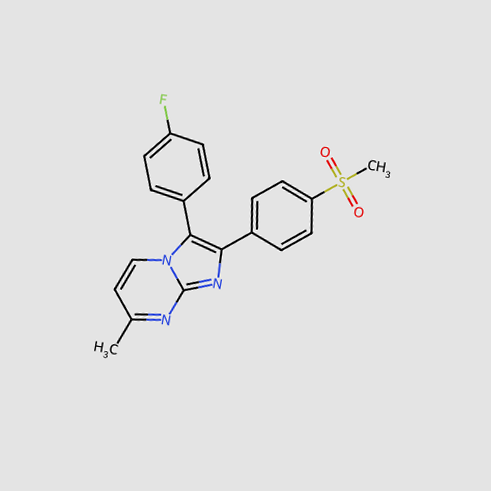 Cc1ccn2c(-c3ccc(F)cc3)c(-c3ccc(S(C)(=O)=O)cc3)nc2n1